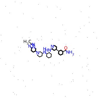 Cc1nc2ccc(N3CCC[C@H](N[C@@H]4CCCC[C@H]4Nc4cc(-c5cccc(C(N)=O)c5)ccn4)C3)cn2n1